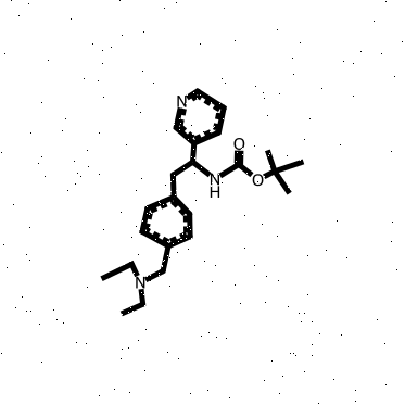 CCN(CC)Cc1ccc(CC(NC(=O)OC(C)(C)C)c2cccnc2)cc1